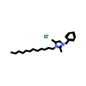 CCCCCCCCCCCCN1C(C)=[N+](Cc2ccccc2)CC1C.[Cl-]